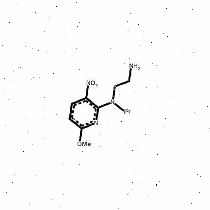 COc1ccc([N+](=O)[O-])c(N(CCN)C(C)C)n1